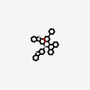 c1ccc(-c2cccc(-c3c(N(c4ccc5c(c4)sc4ccccc45)c4ccc5oc6ccccc6c5c4)c4ccccc4c4ccccc34)c2)cc1